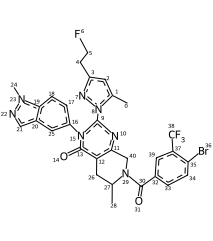 Cc1cc(CCF)nn1-c1nc2c(c(=O)n1-c1ccc3c(cnn3C)c1)CC(C)N(C(=O)c1ccc(Br)c(C(F)(F)F)c1)C2